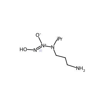 CC(C)N(CCCN)/[N+]([O-])=N/O